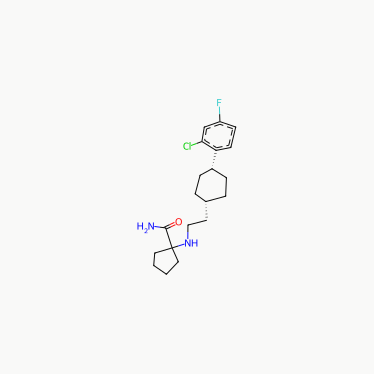 NC(=O)C1(NCC[C@H]2CC[C@@H](c3ccc(F)cc3Cl)CC2)CCCC1